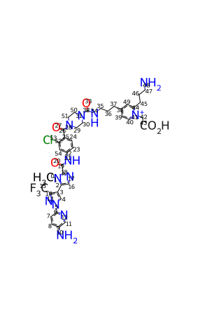 Cn1c(-c2cn(-c3ccc(N)cn3)nc2C(F)(F)F)cnc1C(=O)Nc1ccc(C(=O)N2CCN(C(=O)NCCCc3cc[n+](CC(=O)O)c(CCCN)c3)CC2)c(Cl)c1